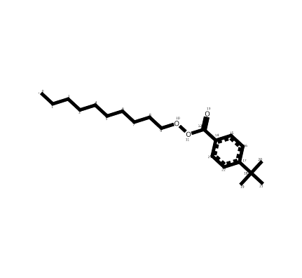 [CH2]CCCCCCCCCOOC(=O)c1ccc(C(C)(C)C)cc1